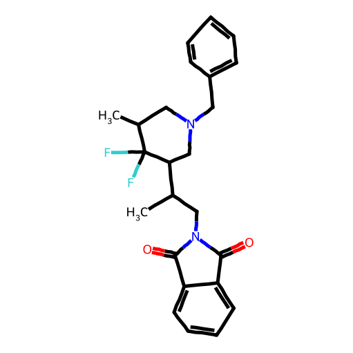 CC(CN1C(=O)c2ccccc2C1=O)C1CN(Cc2ccccc2)CC(C)C1(F)F